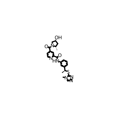 C[C@H](Sc1nncn1C)c1cccc(NC(=O)c2cc(C(=O)N3C[C@H](O)C[C@@H]3C)ccn2)c1